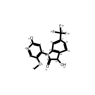 COc1cnc(Cl)cc1N1C(=O)C(O)c2ccc(C(F)(F)F)cc21